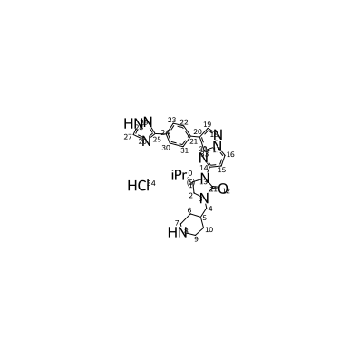 CC(C)[C@H]1CN(CC2CCNCC2)C(=O)N1c1ccn2ncc(-c3ccc(-c4nc[nH]n4)cc3)c2n1.Cl